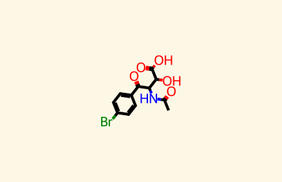 CC(=O)NC(C(=O)c1ccc(Br)cc1)C(O)C(=O)O